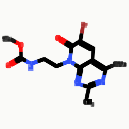 COc1nc(C)nc2c1cc(Br)c(=O)n2CCNC(=O)OC(C)(C)C